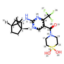 CC1(C)[C@@H]2CC[C@@]1(C)[C@@H](Nc1ncc(C(=O)N3CCS(O)(O)CC3)c(C(F)(F)F)n1)C2